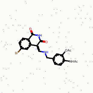 CC(=O)Nc1ccc(CN/C=C2\C(=O)NC(=O)c3ccc(Br)cc32)cc1OC(C)=O